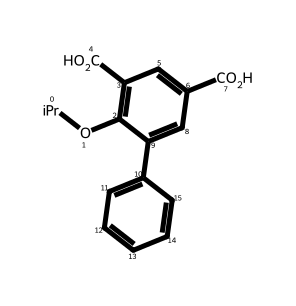 CC(C)Oc1c(C(=O)O)cc(C(=O)O)cc1-c1ccccc1